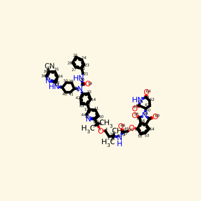 CC(C)(CCOC(C)(C)c1ccc(-c2ccc(N(C(=O)NCc3ccccc3)C3CCC(Nc4ccc(C#N)cn4)CC3)cc2)cn1)NC(=O)COc1cccc2c1C(=O)N(C1CCC(=O)NC1=O)C2=O